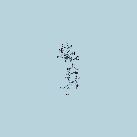 O=C(N[C@@H]1C2CCN(CC2)C12CC2)c1cc2cc(F)c(C3CC3)cc2s1